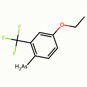 CCOc1ccc([AsH2])c(C(F)(F)F)c1